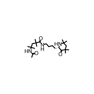 CC(=O)NC(C)(C)CC(C)(C)C(=O)NCCCC[C@@H]1NC(C)(C)CC(C)(C)C1=O